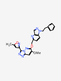 COc1cc2nnc(-c3cc(C)on3)n2nc1OCc1ccc2c(cnn2CCc2ccccc2)n1